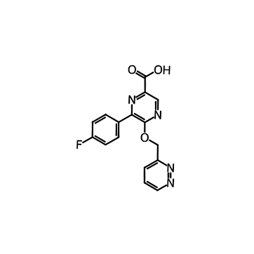 O=C(O)c1cnc(OCc2cccnn2)c(-c2ccc(F)cc2)n1